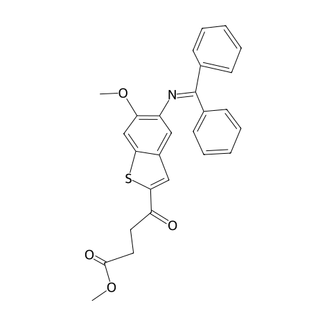 COC(=O)CCC(=O)c1cc2cc(N=C(c3ccccc3)c3ccccc3)c(OC)cc2s1